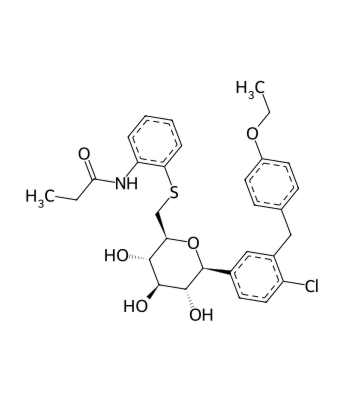 CCOc1ccc(Cc2cc([C@@H]3O[C@H](CSc4ccccc4NC(=O)CC)[C@@H](O)[C@H](O)[C@H]3O)ccc2Cl)cc1